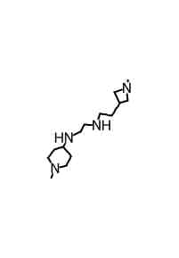 CN1CCC(NCCNCCC2CN(C)C2)CC1